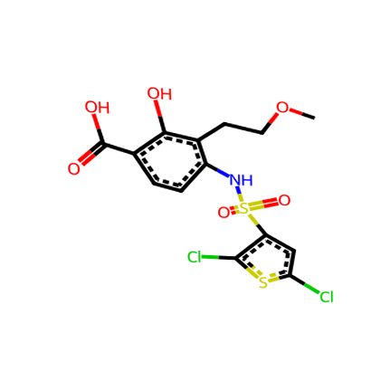 COCCc1c(NS(=O)(=O)c2cc(Cl)sc2Cl)ccc(C(=O)O)c1O